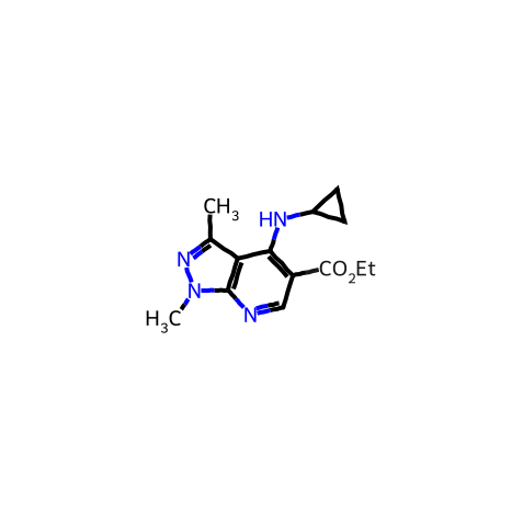 CCOC(=O)c1cnc2c(c(C)nn2C)c1NC1CC1